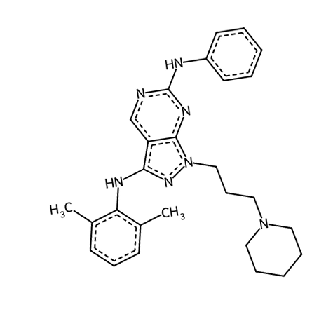 Cc1cccc(C)c1Nc1nn(CCCN2CCCCC2)c2nc(Nc3ccccc3)ncc12